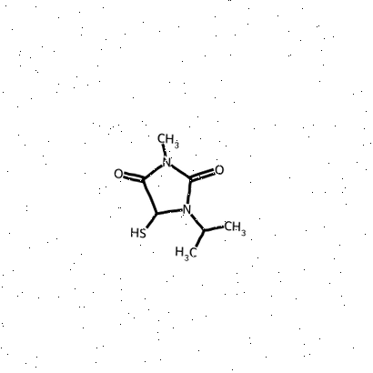 CC(C)N1C(=O)N(C)C(=O)C1S